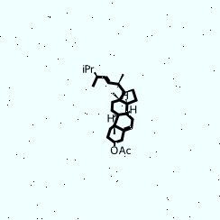 CC(=O)O[C@H]1CC[C@@]2(C)C(=CC[C@H]3[C@@H]4CC[C@H]([C@H](C)/C=C/[C@@H](C)C(C)C)[C@@]4(C)CC[C@@H]32)C1